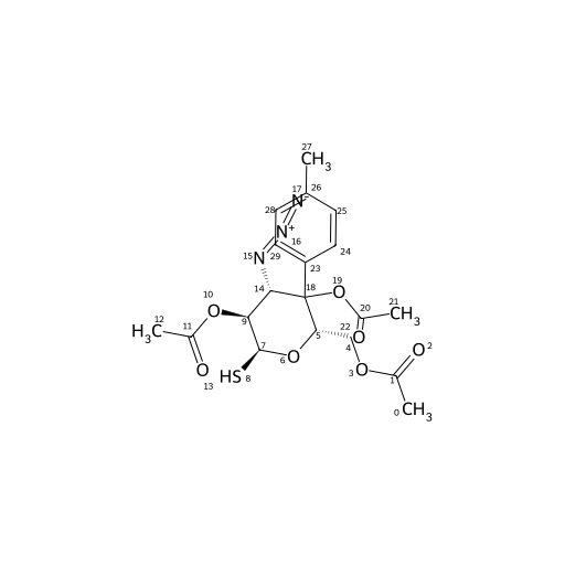 CC(=O)OC[C@@H]1O[C@@H](S)[C@@H](OC(C)=O)[C@H](N=[N+]=[N-])C1(OC(C)=O)c1ccc(C)cc1